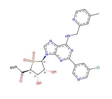 CNC(=O)[C@@H]1[C@@H](O)[C@@H](O)[C@H](n2cnc3c(NCc4cc(C)ccn4)nc(-c4cncc(Cl)c4)nc32)S1(=O)=O